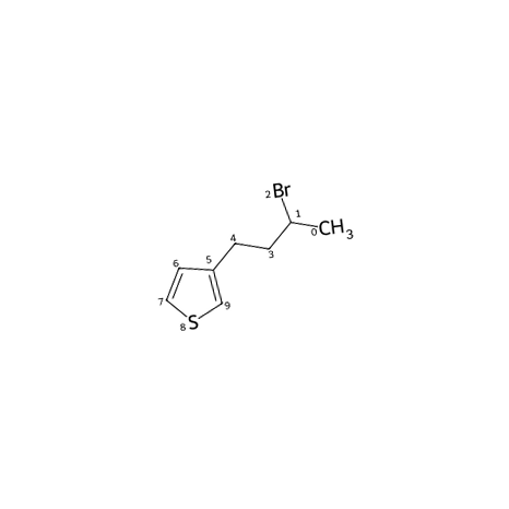 CC(Br)CCc1ccsc1